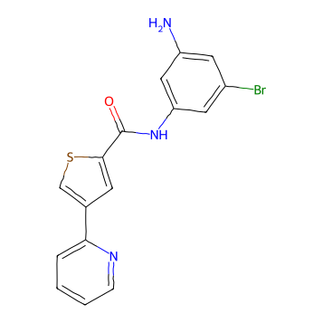 Nc1cc(Br)cc(NC(=O)c2cc(-c3ccccn3)cs2)c1